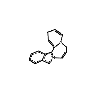 C1=CN2CC=Cn3cc4ccccc4c3C2=CC1